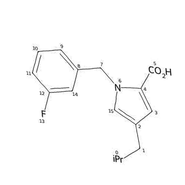 CC(C)Cc1cc(C(=O)O)n(Cc2cccc(F)c2)c1